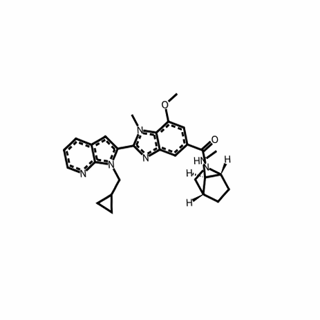 CN[C@@H]1[C@@H]2CC[C@H]1N(C(=O)c1cc(OC)c3c(c1)nc(-c1cc4cccnc4n1CC1CC1)n3C)C2